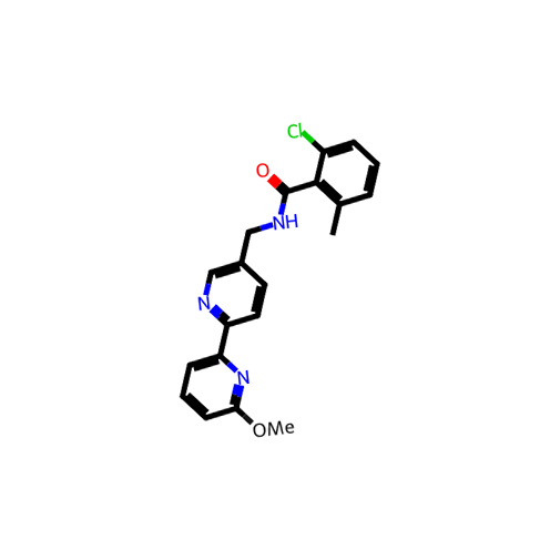 COc1cccc(-c2ccc(CNC(=O)c3c(C)cccc3Cl)cn2)n1